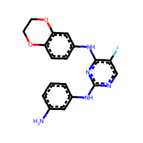 Nc1cccc(Nc2ncc(F)c(Nc3ccc4c(c3)OCCO4)n2)c1